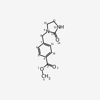 COC(=O)c1ccc(CN2CCNC2=O)cc1